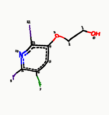 OCCOc1cc(F)c(I)nc1I